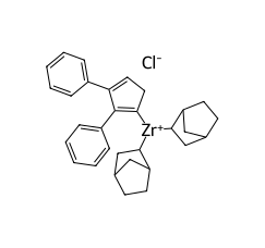 C1=C(c2ccccc2)C(c2ccccc2)=[C]([Zr+]([CH]2CC3CCC2C3)[CH]2CC3CCC2C3)C1.[Cl-]